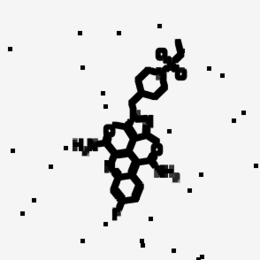 CCS(=O)(=O)N1CCC(Cn2nc(C)c(-c3c(C(N)=O)nc4cc(F)ccc4c3C(N)=O)c2C)CC1